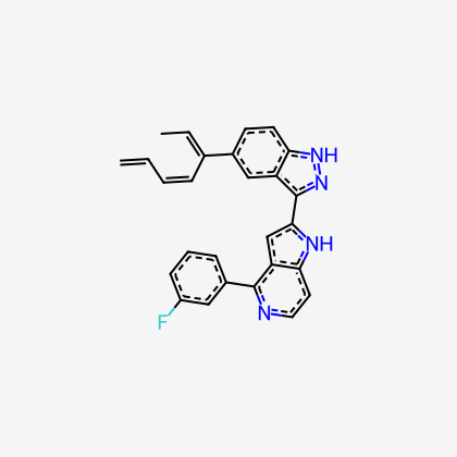 C=C/C=C\C(=C/C)c1ccc2[nH]nc(-c3cc4c(-c5cccc(F)c5)nccc4[nH]3)c2c1